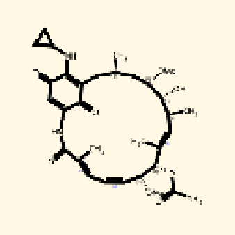 CO[C@H]1C[C@H](C)CC2=C(NC3CC3)C(=O)C=C(NC(=O)/C(C)=C/C=C\[C@@H](OC)[C@@H](OC(N)=O)/C(C)=C/[C@H](C)[C@H]1O)C2=O